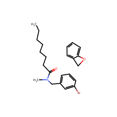 CCCCCCCC(=O)N(C)Cc1cccc(Br)c1.c1ccc2c(c1)CO2